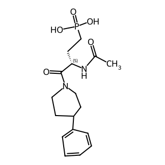 CC(=O)N[C@@H](CCP(=O)(O)O)C(=O)N1CCC(c2ccccc2)CC1